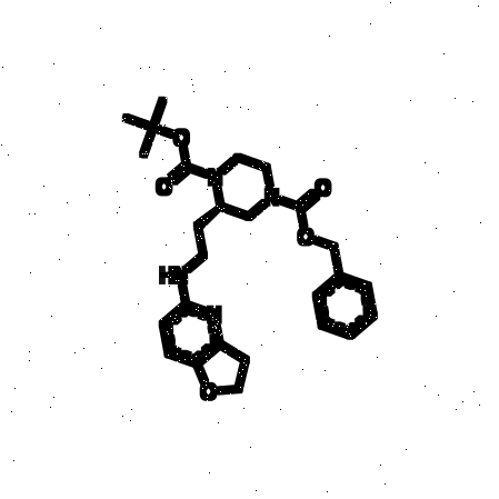 CC(C)(C)OC(=O)N1CCN(C(=O)OCc2ccccc2)C[C@H]1CCNc1ccc2c(n1)CCO2